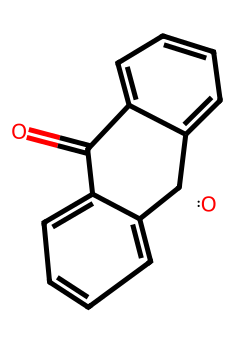 O=C1c2ccccc2Cc2ccccc21.[O]